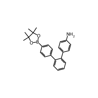 CC1(C)OB(c2ccc(-c3ccccc3-c3ccc(N)cc3)cc2)OC1(C)C